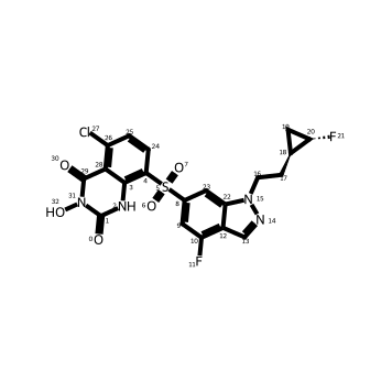 O=c1[nH]c2c(S(=O)(=O)c3cc(F)c4cnn(CC[C@H]5C[C@@H]5F)c4c3)ccc(Cl)c2c(=O)n1O